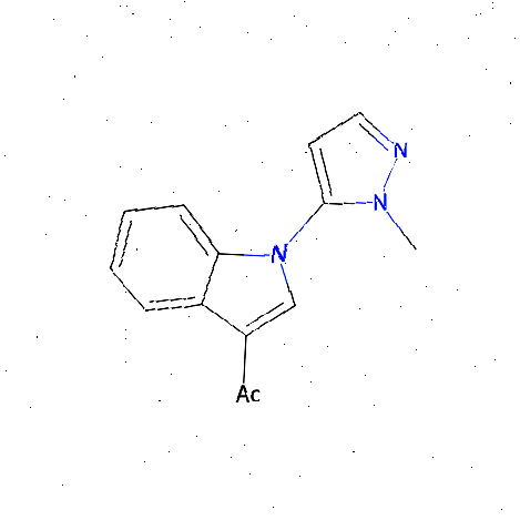 CC(=O)c1cn(-c2ccnn2C)c2ccccc12